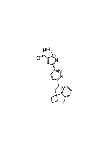 NC(=O)c1cc(-c2ccc(CCC3(c4ncccc4F)CCC3)nn2)no1